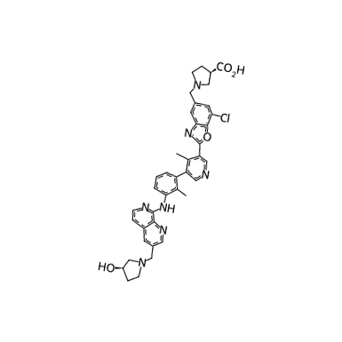 Cc1c(Nc2nccc3cc(CN4CC[C@@H](O)C4)cnc23)cccc1-c1cncc(-c2nc3cc(CN4CC[C@@H](C(=O)O)C4)cc(Cl)c3o2)c1C